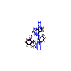 C/N=C(\Nc1ccccc1I)NC1CCCN(c2ncnc3[nH]ccc23)C1